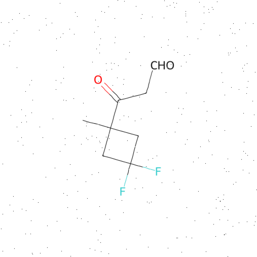 CC1(C(=O)CC=O)CC(F)(F)C1